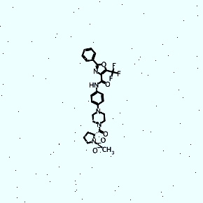 CS(=O)(=O)N1CCC[C@@H]1C(=O)N1CCN(c2ccc(NC(=O)c3nc(-c4ccccc4)oc3C(F)(F)F)cc2)CC1